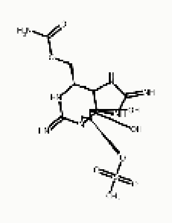 CS(=O)(=O)O[C@H]1CN2C(=N)N[C@@H](COC(N)=O)C3NC(=N)N[C@@]32C1(O)O